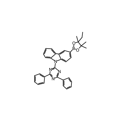 CCC1(C)OB(c2ccc3c(c2)c2ccccc2n3-c2nc(-c3ccccc3)nc(-c3ccccc3)n2)OC1(C)C